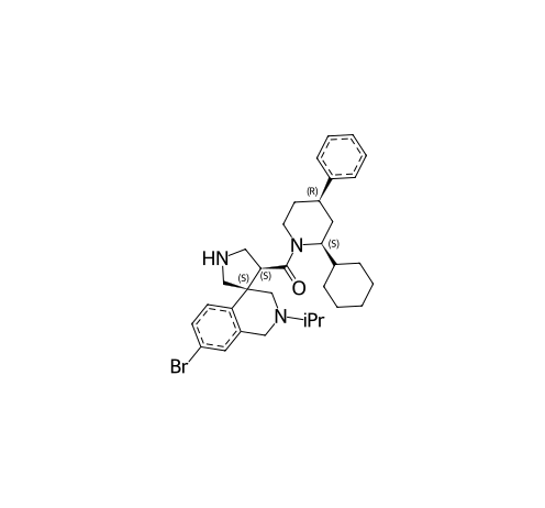 CC(C)N1Cc2cc(Br)ccc2[C@@]2(CNC[C@H]2C(=O)N2CC[C@@H](c3ccccc3)C[C@H]2C2CCCCC2)C1